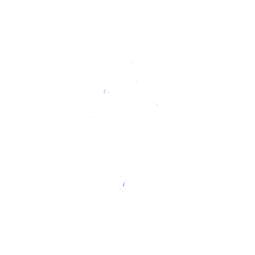 N[C@@H](O)Cc1ccc(C2C=C(NC3CC3)n3ncc(C=O)c3N2)s1